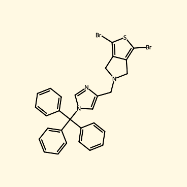 Brc1sc(Br)c2c1CN(Cc1cn(C(c3ccccc3)(c3ccccc3)c3ccccc3)cn1)C2